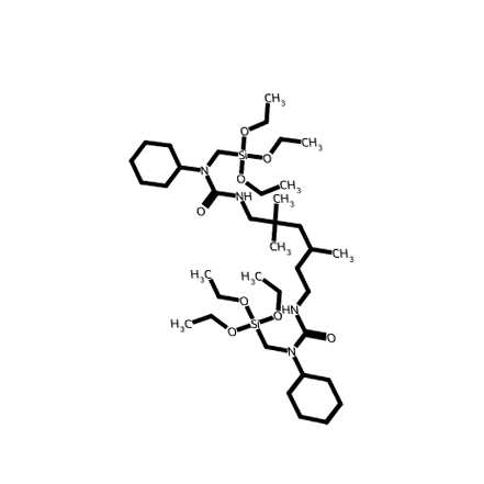 CCO[Si](CN(C(=O)NCCC(C)CC(C)(C)CNC(=O)N(C[Si](OCC)(OCC)OCC)C1CCCCC1)C1CCCCC1)(OCC)OCC